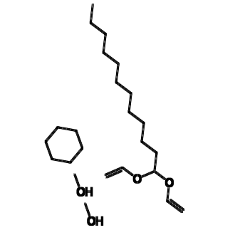 C1CCCCC1.C=COC(CCCCCCCCCCC)OC=C.CO.CO